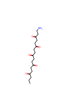 CCCC(=O)CCC(=O)CCC(=O)CCC(=O)CCC(=O)CCN